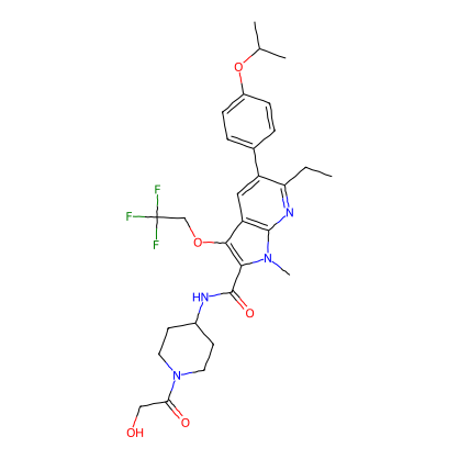 CCc1nc2c(cc1-c1ccc(OC(C)C)cc1)c(OCC(F)(F)F)c(C(=O)NC1CCN(C(=O)CO)CC1)n2C